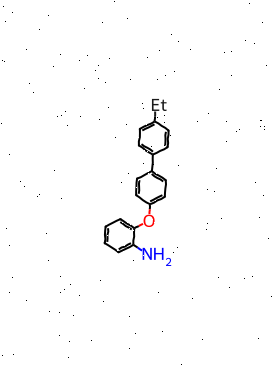 CCc1ccc(-c2ccc(Oc3ccccc3N)cc2)cc1